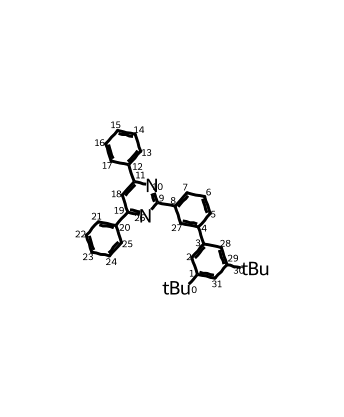 CC(C)(C)c1cc(-c2cccc(-c3nc(-c4ccccc4)cc(-c4ccccc4)n3)c2)cc(C(C)(C)C)c1